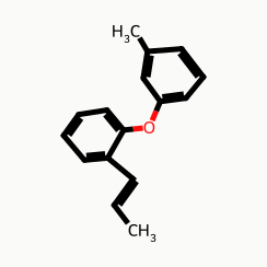 CC=Cc1ccccc1Oc1cccc(C)c1